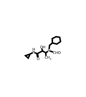 CC(C(O)C(=O)NC1CC1)N(C=O)CC1CCCCC1